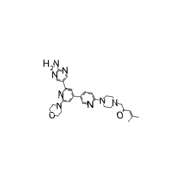 CC(C)=CC(=O)CN1CCN(c2ccc(-c3cc(-c4cnc(N)nc4)nc(N4CCOCC4)c3)cn2)CC1